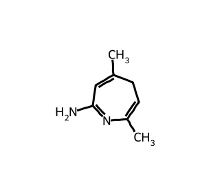 CC1=CC(N)=NC(C)=CC1